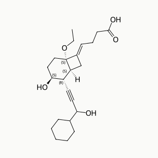 CCO[C@@]12CC[C@H](O)[C@@H](C#CC(O)C3CCCCC3)[C@@H]1CC2=CCCC(=O)O